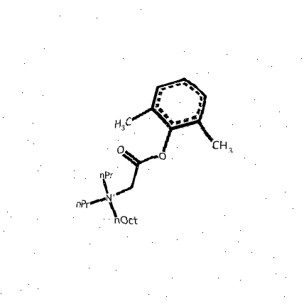 CCCCCCCC[N+](CCC)(CCC)CC(=O)Oc1c(C)cccc1C